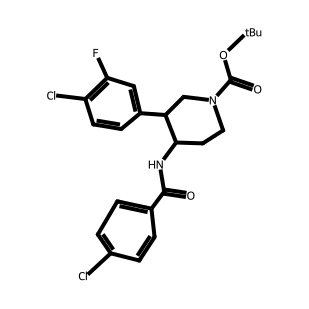 CC(C)(C)OC(=O)N1CCC(NC(=O)c2ccc(Cl)cc2)C(c2ccc(Cl)c(F)c2)C1